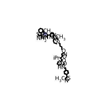 Cc1ncsc1-c1ccc(CNC(=O)[C@@H]2CCCN2C(=O)C(c2cc(OCCCCN3CCCN(c4nccc(C(=N)/C=C(\S)[C@@]5(C)CCCc6sc(N)c(C#N)c65)n4)[C@@H](C)C3)no2)C(C)C)cc1